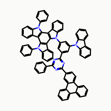 c1ccc(-c2nc(-c3cc(-n4c5ccccc5c5ccccc54)cc(-n4c5ccccc5c5c6c(c7ccccc7n6-c6ccccc6)c6c(c7ccccc7n6-c6ccccc6)c54)c3)nc(-c3ccc4c5ccccc5c5ccccc5c4c3)n2)cc1